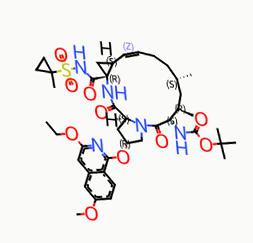 CCOc1cc2cc(OC)ccc2c(O[C@@H]2C[C@H]3C(=O)N[C@]4(C(=O)NS(=O)(=O)C5(C)CC5)C[C@H]4/C=C\CC[C@H](C)C[C@@H](C)[C@H](NC(=O)OC(C)(C)C)C(=O)N3C2)n1